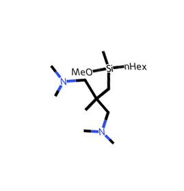 CCCCCC[Si](C)(CC(C)(CN(C)C)CN(C)C)OC